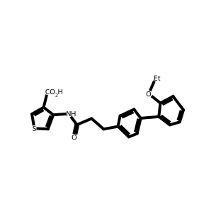 CCOc1ccccc1-c1ccc(CCC(=O)Nc2cscc2C(=O)O)cc1